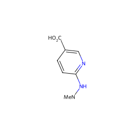 CNNc1ccc(C(=O)O)cn1